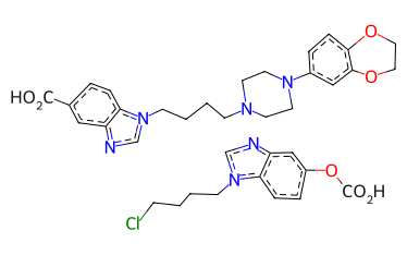 O=C(O)Oc1ccc2c(c1)ncn2CCCCCl.O=C(O)c1ccc2c(c1)ncn2CCCCN1CCN(c2ccc3c(c2)OCCO3)CC1